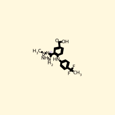 CN(N)/N=C(\N)c1cc(C(=O)O)ccc1Nc1ccc(C(C)(F)F)cc1